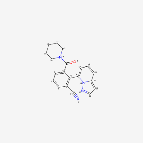 N#Cc1cccc(C(=O)N2CCCCC2)c1-c1cccc2ccnn12